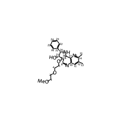 COCCOCCO[N@+]12C=Nc3cc(C)c(C)nc3C1N[C@H](c1ccccc1)[C@H]2O